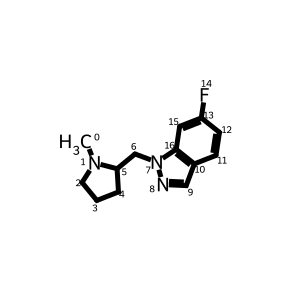 CN1CCCC1Cn1ncc2ccc(F)cc21